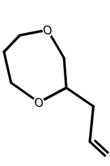 C=CCC1COCCCO1